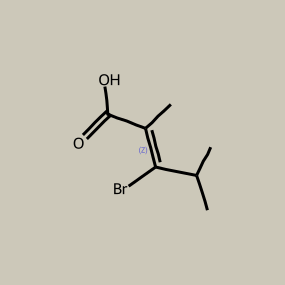 C/C(C(=O)O)=C(/Br)C(C)C